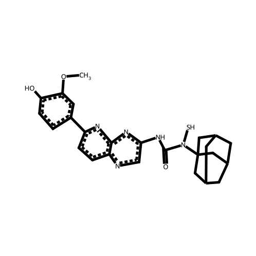 COc1cc(-c2ccc3ncc(NC(=O)N(S)C45CC6CC(CC(C6)C4)C5)nc3n2)ccc1O